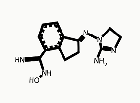 N=C(NO)c1cccc2c1CCC2=NN1CCN=C1N